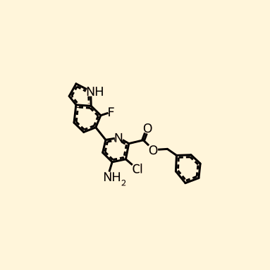 Nc1cc(-c2ccc3cc[nH]c3c2F)nc(C(=O)OCc2ccccc2)c1Cl